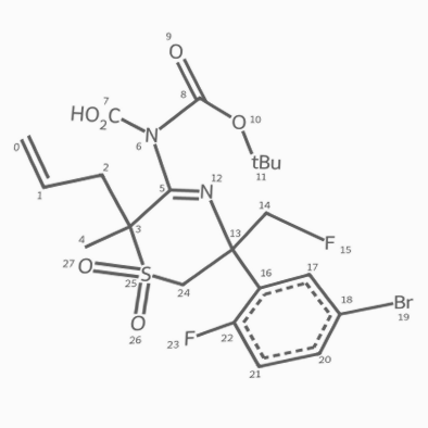 C=CCC1(C)C(N(C(=O)O)C(=O)OC(C)(C)C)=NC(CF)(c2cc(Br)ccc2F)CS1(=O)=O